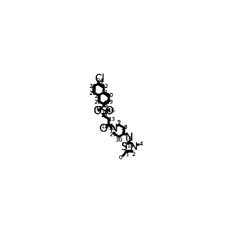 Cc1cn(C)c(=NC2CCN(C(=O)CCS(=O)(=O)c3ccc4cc(Cl)ccc4c3)CC2)s1